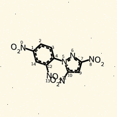 O=[N+]([O-])c1ccc(-n2nc([N+](=O)[O-])cc2[N+](=O)[O-])c([N+](=O)[O-])c1